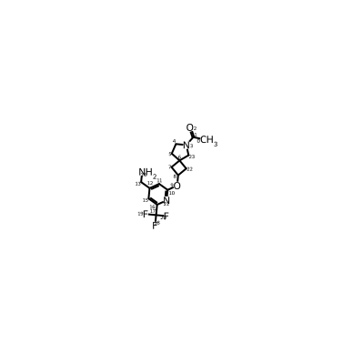 CC(=O)N1CCC2(CC(Oc3cc(CN)cc(C(F)(F)F)n3)C2)C1